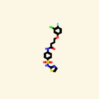 O=C(CCCOc1ccc(F)c(Cl)c1)Nc1ccc(S(=O)(=O)Nc2nccs2)cc1